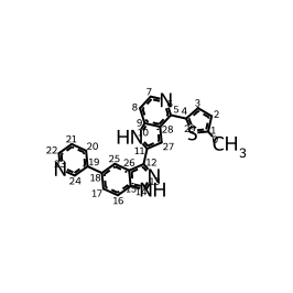 Cc1ccc(-c2nccc3[nH]c(-c4n[nH]c5ccc(-c6cccnc6)cc45)cc23)s1